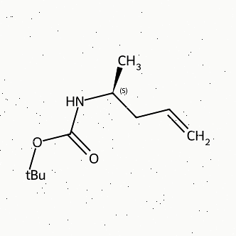 C=CC[C@H](C)NC(=O)OC(C)(C)C